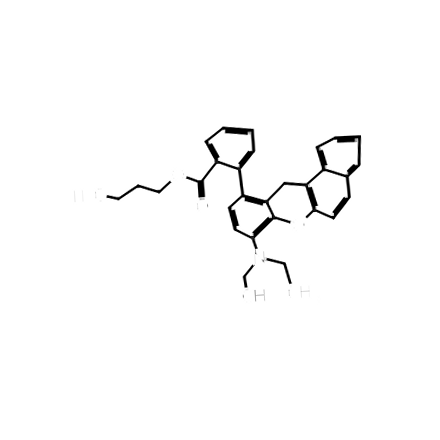 CCCCOC(=O)c1ccccc1-c1ccc(N(CC)CC)c2c1Cc1c(ccc3ccccc13)O2